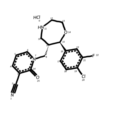 Cl.N#Cc1cccn(C[C@@H]2CNCCO[C@H]2c2ccc(Cl)c(F)c2)c1=O